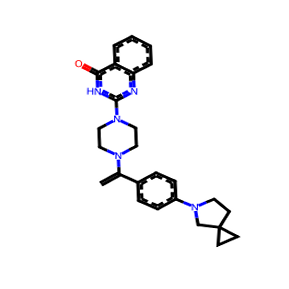 C=C(c1ccc(N2CCC3(CC3)C2)cc1)N1CCN(c2nc3ccccc3c(=O)[nH]2)CC1